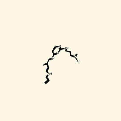 C=CCN/C=C/C(C)CNc1ccnc(NCCCN(C)C(C)=O)n1